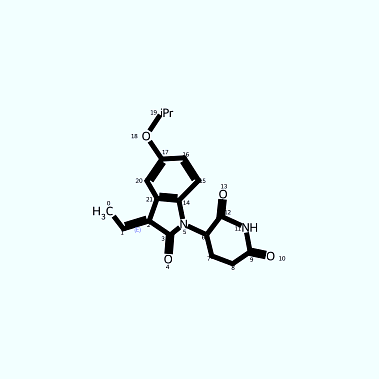 C/C=C1/C(=O)N(C2CCC(=O)NC2=O)c2ccc(OC(C)C)cc21